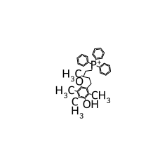 Cc1c(C)c2c(c(C)c1O)CCC(C)(CC[P+](c1ccccc1)(c1ccccc1)c1ccccc1)O2